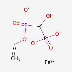 C=COP(=O)([O-])C(O)P(=O)([O-])[O-].[Fe+3]